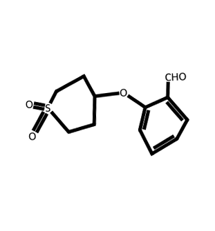 O=Cc1ccccc1OC1CCS(=O)(=O)CC1